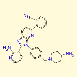 N#Cc1ccccc1-c1ccc2nc(-c3cccnc3N)n(-c3ccc(CN4CCC(N)CC4)cc3)c2n1